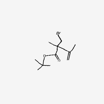 C=C(C)C(C)(CBr)C(=O)OC(C)(C)C